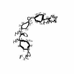 O=C(Nc1ccc(OC(F)(F)F)cc1)N[C@H]1CC[C@H](Oc2ccc(-c3nnn[nH]3)cc2)CC1